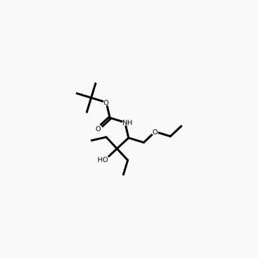 CCOCC(NC(=O)OC(C)(C)C)C(O)(CC)CC